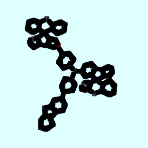 c1ccc2c(c1)Oc1ccccc1C21c2ccccc2-c2cc(-c3ccc(N(c4ccc(-c5ccc6c(c5)sc5ccccc56)cc4)c4ccc5c(c4)C4(c6ccccc6Oc6ccccc64)c4ccccc4-5)cc3)ccc21